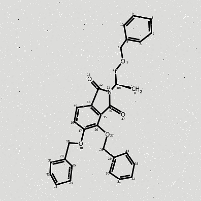 [CH2][C@H](COCc1ccccc1)N1C(=O)c2ccc(OCc3ccccc3)c(OCc3ccccc3)c2C1=O